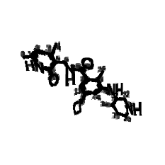 Cc1cc(C)c(CNC(=O)c2cc(Cl)cc(NC3CCCNC3)c2C)c(=O)[nH]1